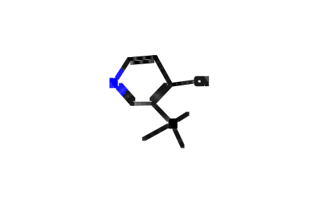 C[Si](C)(C)c1cnccc1C#N